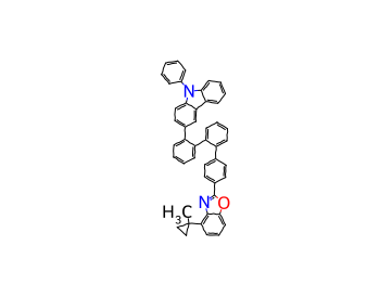 CC1(c2cccc3oc(-c4ccc(-c5ccccc5-c5ccccc5-c5ccc6c(c5)c5ccccc5n6-c5ccccc5)cc4)nc23)CC1